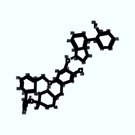 CC1(O)CCN(Cc2cc(Cl)c(O[C@H]3CCc4c(-c5ccccc5F)cccc43)cc2OCc2cncc(C#N)c2)CC1